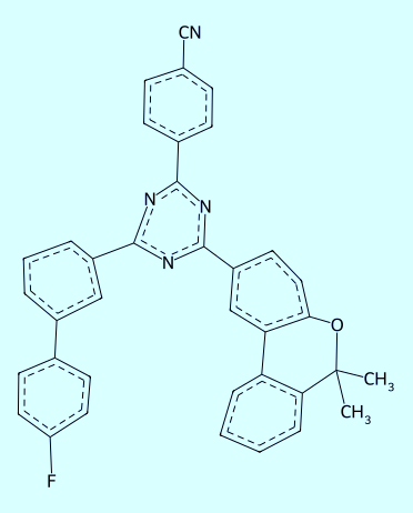 CC1(C)Oc2ccc(-c3nc(-c4ccc(C#N)cc4)nc(-c4cccc(-c5ccc(F)cc5)c4)n3)cc2-c2ccccc21